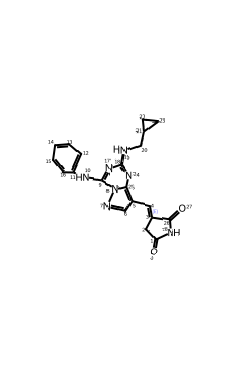 O=C1C/C(=C\c2cnn3c(Nc4ccccc4)nc(NCC4CC4)nc23)C(=O)N1